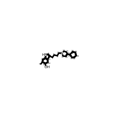 Cc1cc2[nH]cc(CCCCN3CC=C(c4ccccc4)CC3)c2cc1O